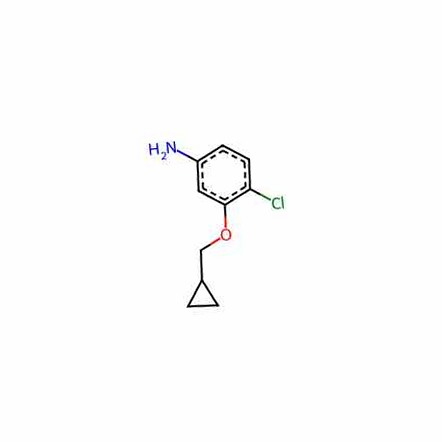 Nc1ccc(Cl)c(OCC2CC2)c1